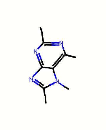 Cc1nc(C)c2c(n1)nc(C)n2C